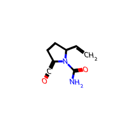 C=CC1CCC(=C=O)N1C(N)=O